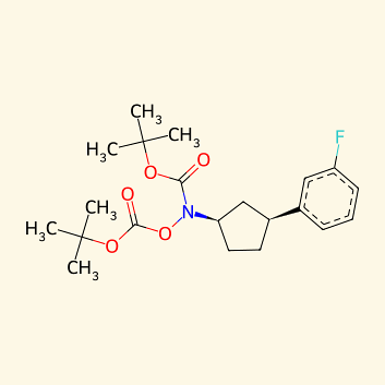 CC(C)(C)OC(=O)ON(C(=O)OC(C)(C)C)[C@@H]1CC[C@H](c2cccc(F)c2)C1